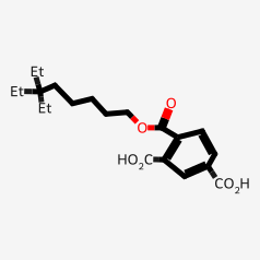 CCC(CC)(CC)CCCCCOC(=O)c1ccc(C(=O)O)cc1C(=O)O